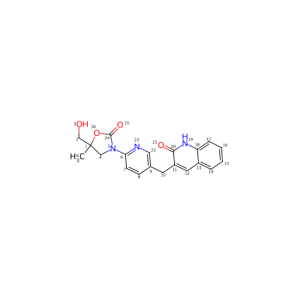 CC1(CO)CN(c2ccc(Cc3cc4ccccc4[nH]c3=O)cn2)C(=O)O1